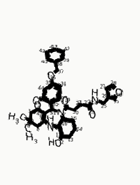 CC1(C)CC(=O)C2=C(C1)NC1=C(O)CCC=C1N(C(=O)CCC(=O)NCc1ccoc1)C2c1ccc(OCc2ccccc2)cc1Cl